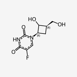 O=c1[nH]c(=O)n([C@@H]2C[C@H](CO)C2O)cc1F